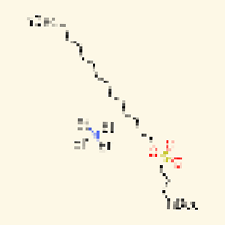 CCCCCCCCCCCCCCCCCCCCCCCOS(=O)(=O)CCCCCCCCCCCCC.CC[N+](CC)(CC)CC